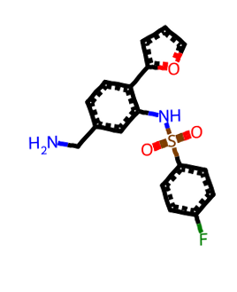 NCc1ccc(-c2ccco2)c(NS(=O)(=O)c2ccc(F)cc2)c1